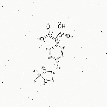 CC1(C)OC[C@@H](Cc2ccc(C(C(=O)O)=S(=O)=O)cc2)O1